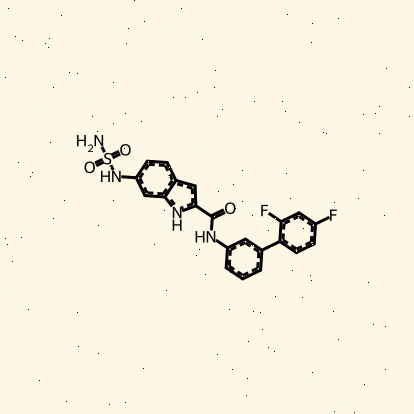 NS(=O)(=O)Nc1ccc2cc(C(=O)Nc3cccc(-c4ccc(F)cc4F)c3)[nH]c2c1